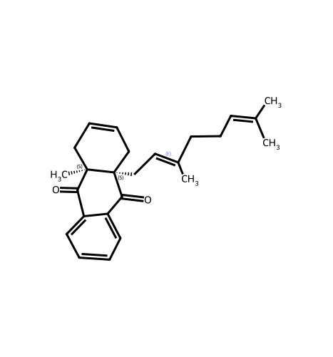 CC(C)=CCC/C(C)=C/C[C@@]12CC=CC[C@]1(C)C(=O)c1ccccc1C2=O